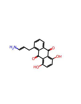 NC=CCc1cccc2c1C(=O)c1c(O)ccc(O)c1C2=O